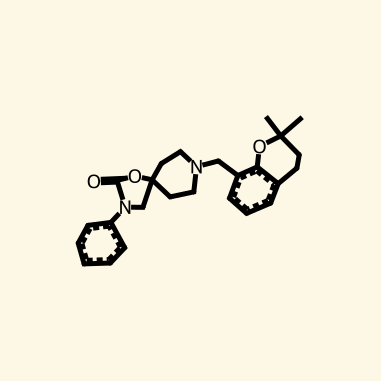 CC1(C)CCc2cccc(CN3CCC4(CC3)CN(c3ccccc3)C(=O)O4)c2O1